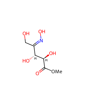 COC(=O)[C@H](O)[C@H](O)C(CO)=NO